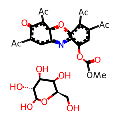 COC(=O)Oc1cc(C(C)=O)c(C(C)=O)c2oc3c(C(C)=O)c(=O)c(C(C)=O)cc-3nc12.OC[C@H]1O[C@@H](O)[C@H](O)[C@@H](O)[C@H]1O